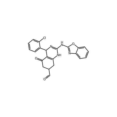 O=CC1CC(=O)C2=C(C1)NC(Nc1nc3ccccc3o1)=NC2c1ccccc1Cl